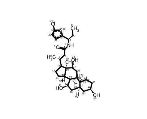 CC[C@@H](NC(=O)C[C@@H](C)C1CC[C@H]2[C@@H]3[C@H](O)C[C@@H]4C[C@H](O)CC[C@]4(C)[C@H]3C[C@H](O)[C@]12C)c1ccc(Cl)s1